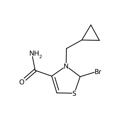 NC(=O)C1=CSC(Br)N1CC1CC1